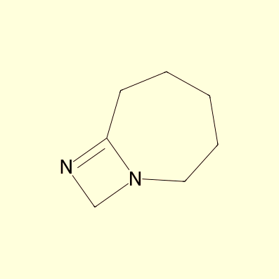 C1CCC2=NCN2CC1